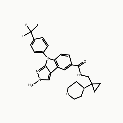 Cn1cc2c3cc(C(=O)NCC4(N5CCOCC5)CC4)ccc3n(-c3ccc(C(F)(F)F)cc3)c2n1